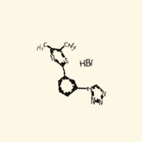 Br.Cc1nc(-c2cccc(-n3cnnn3)c2)sc1C